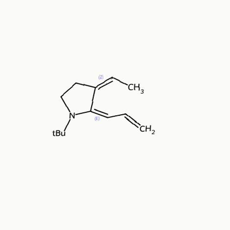 C=C/C=C1\C(=C/C)CCN1C(C)(C)C